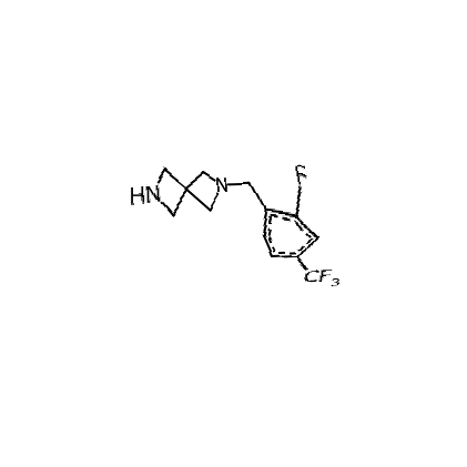 Fc1cc(C(F)(F)F)ccc1CN1CC2(CNC2)C1